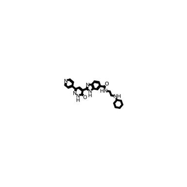 O=C(NCCNC1CCCCC1)c1ccc2nc(-c3cc(-c4ccncc4)n[nH]c3=O)[nH]c2c1